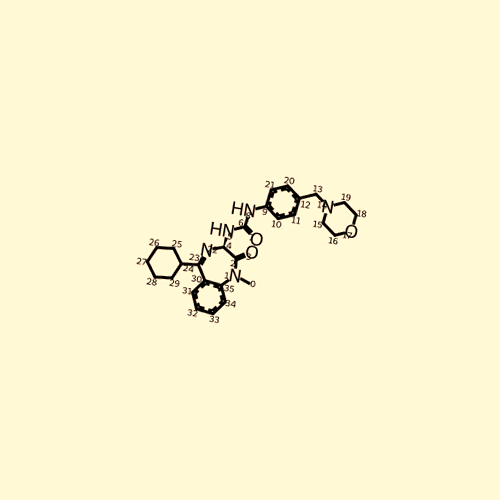 CN1C(=O)[C@H](NC(=O)Nc2ccc(CN3CCOCC3)cc2)N=C(C2CCCCC2)c2ccccc21